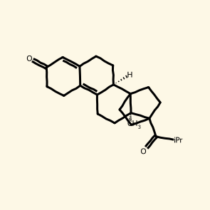 CC(C)C(=O)C12CCC3(CC1)[C@@H]1CCC4=CC(=O)CCC4=C1CC[C@]23C